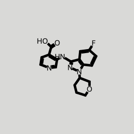 O=C(O)c1ccncc1Nc1nn(C2CCCOC2)c2ccc(F)cc12